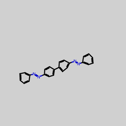 c1ccc(N=Nc2ccc(-c3ccc(N=Nc4ccccc4)cc3)cc2)cc1